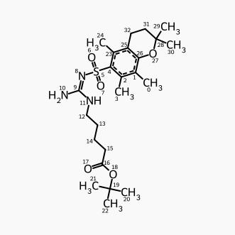 Cc1c(C)c(S(=O)(=O)N=C(N)NCCCCC(=O)OC(C)(C)C)c(C)c2c1OC(C)(C)CC2